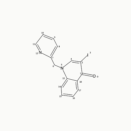 O=c1c(I)cn(Cc2ccccn2)c2ccccc12